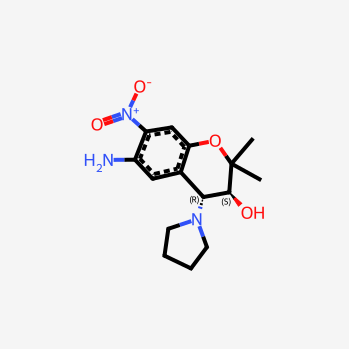 CC1(C)Oc2cc([N+](=O)[O-])c(N)cc2[C@@H](N2CCCC2)[C@@H]1O